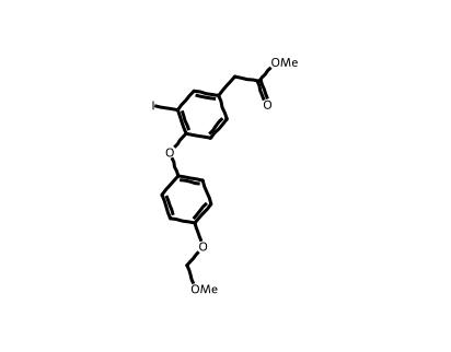 COCOc1ccc(Oc2ccc(CC(=O)OC)cc2I)cc1